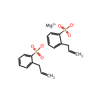 C=CCc1ccccc1S(=O)(=O)[O-].C=CCc1ccccc1S(=O)(=O)[O-].[Mg+2]